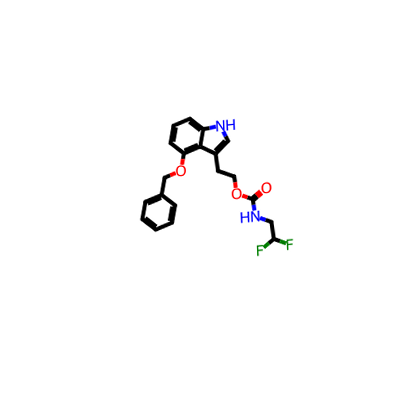 O=C(NCC(F)F)OCCc1c[nH]c2cccc(OCc3ccccc3)c12